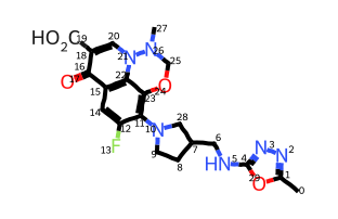 Cc1nnc(NCC2CCN(c3c(F)cc4c(=O)c(C(=O)O)cn5c4c3OCN5C)C2)o1